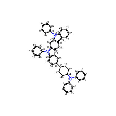 c1ccc(N(c2ccccc2)C2CCC(c3ccc4c(c3)c3cc5c6ccccc6n(-c6ccccc6)c5cc3n4-c3ccccc3)CC2)cc1